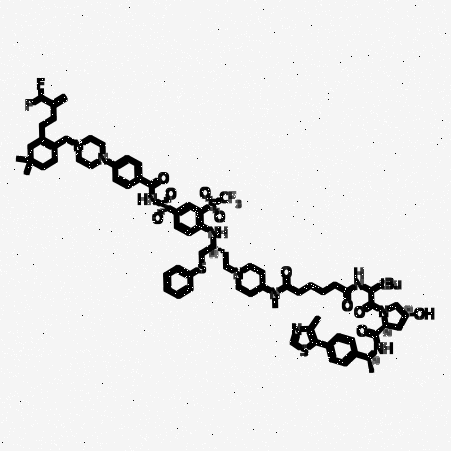 C=C(CCC1=C(CN2CCN(c3ccc(C(=O)NS(=O)(=O)c4ccc(N[C@H](CCN5CCC(N(C)C(=O)CCCCC(=O)NC(C(=O)N6C[C@H](O)C[C@H]6C(=O)N[C@@H](C)c6ccc(-c7scnc7C)cc6)C(C)(C)C)CC5)CSc5ccccc5)c(S(=O)(=O)C(F)(F)F)c4)cc3)CC2)CCC(C)(C)C1)C(F)F